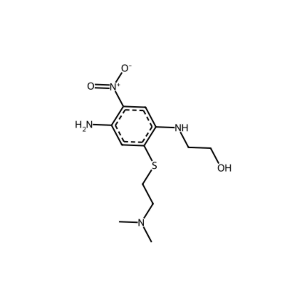 CN(C)CCSc1cc(N)c([N+](=O)[O-])cc1NCCO